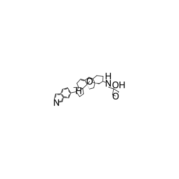 CC12CC=C3C=C4CCC(NCC5(O)COC5)C[C@]45CC[C@]3(O5)[C@@H]1CCC2c1ccc2ccncc2c1